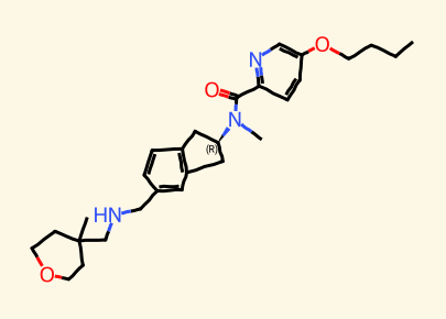 CCCCOc1ccc(C(=O)N(C)[C@@H]2Cc3ccc(CNCC4(C)CCOCC4)cc3C2)nc1